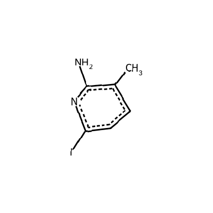 Cc1ccc(I)nc1N